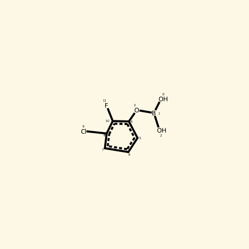 OB(O)Oc1cccc(Cl)c1F